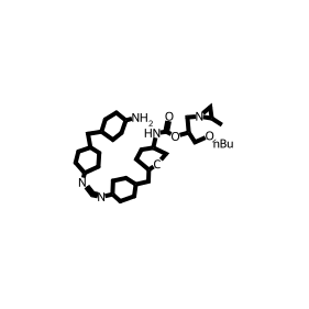 CCCCOCC(CN1CC1C)OC(=O)NC1CCC(CC2CCC(N=C=NC3CCC(CC4CCC(N)CC4)CC3)CC2)CC1